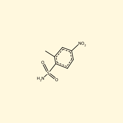 Cc1cc([N+](=O)[O-])ccc1S(N)(=O)=O